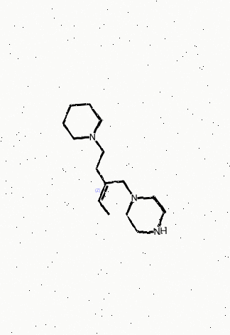 C/C=C(/CCN1CCCCC1)CN1CCNCC1